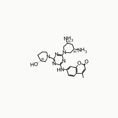 Cc1cc(=O)oc2cc(Nc3nc(N4C[C@H](N)C[C@H](N)C4)nc(N4CCC[C@@H](O)C4)n3)ccc12